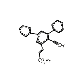 C#Cc1c(C=CC(=O)OCC)cc(-c2ccccc2)cc1-c1ccccc1